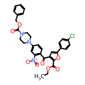 CCOC(=O)c1oc(-c2ccc(Cl)cc2)cc1C(=O)c1ccc(N2CCN(C(=O)OCc3ccccc3)CC2)cc1[N+](=O)[O-]